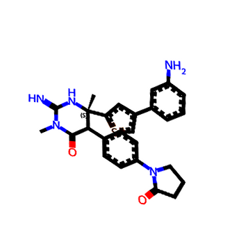 CN1C(=N)N[C@](C)(c2cc(-c3cccc(N)c3)cs2)C(c2ccc(N3CCCC3=O)cc2)C1=O